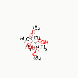 CC(C)(C)OOC(C)(C)C(OO)C(OO)C(C)(C)OOC(C)(C)C